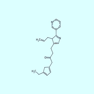 C=CCC1C(CCC(=O)CC2=CC=C(CC)C2)=CN=C1c1cccnc1